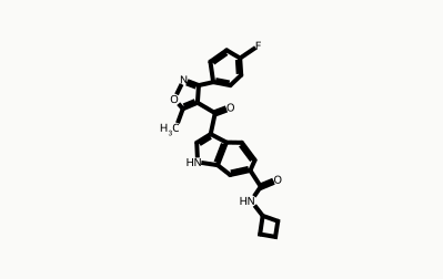 Cc1onc(-c2ccc(F)cc2)c1C(=O)c1c[nH]c2cc(C(=O)NC3CCC3)ccc12